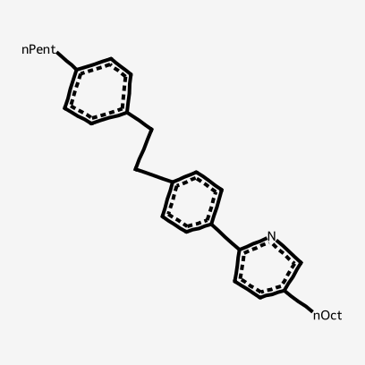 CCCCCCCCc1ccc(-c2ccc(CCc3ccc(CCCCC)cc3)cc2)nc1